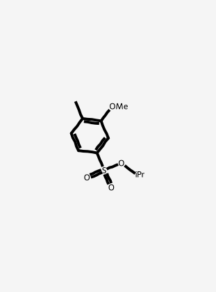 COc1cc(S(=O)(=O)OC(C)C)ccc1C